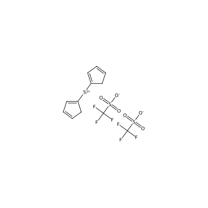 C1=CC[C]([Ti+2][C]2=CC=CC2)=C1.O=S(=O)([O-])C(F)(F)F.O=S(=O)([O-])C(F)(F)F